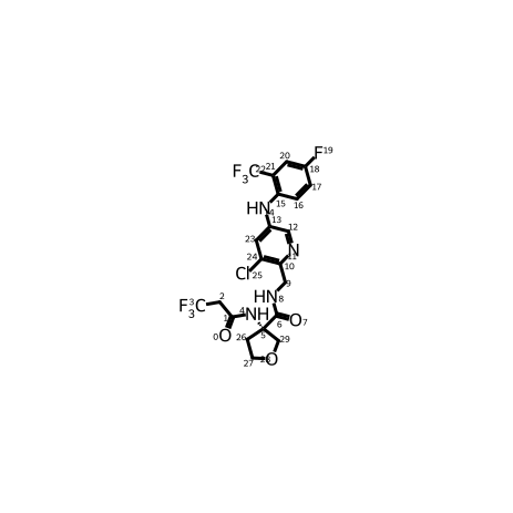 O=C(CC(F)(F)F)N[C@@]1(C(=O)NCc2ncc(Nc3ccc(F)cc3C(F)(F)F)cc2Cl)CCOC1